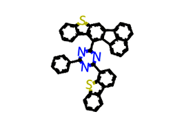 c1ccc(-c2nc(-c3cccc4c3sc3ccccc34)nc(-c3c4c(cc5sc6ccccc6c35)-c3cccc5cccc-4c35)n2)cc1